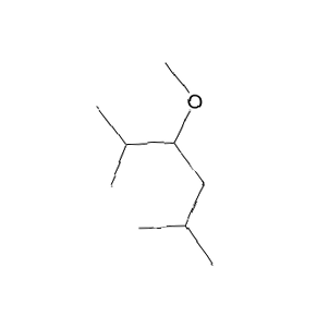 COC(CC(C)C)C(C)C